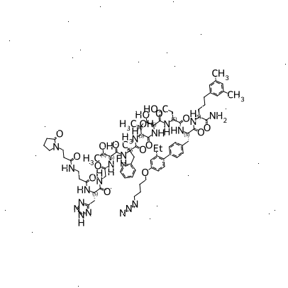 CCc1cc(OCCCCN=[N+]=[N-])ccc1-c1ccc(C[C@H](NC(=O)[C@H](CC(=O)O)NC(=O)[C@H](CO)NC(=O)[C@@H](NC(=O)[C@](C)(Cc2ccccc2F)NC(=O)[C@@H](NC(=O)CNC(=O)[C@H](Cc2nn[nH]n2)NC(=O)CCNC(=O)CCN2CCCC2=O)[C@@H](C)O)[C@@H](C)O)C(=O)N[C@@H](CCCc2cc(C)cc(C)c2)C(N)=O)cc1